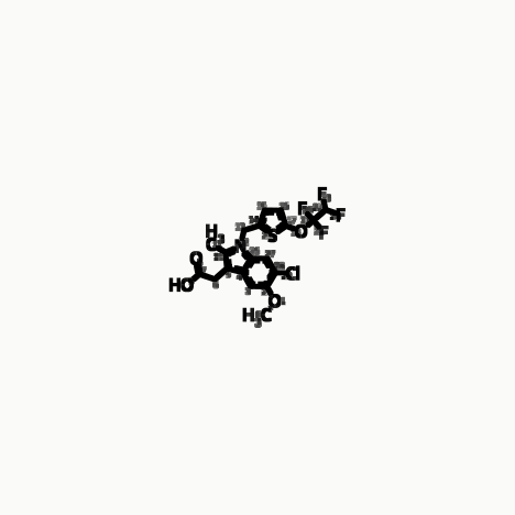 COc1cc2c(CC(=O)O)c(C)n(Cc3ccc(OC(F)(F)C(F)F)s3)c2cc1Cl